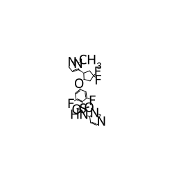 Cn1nccc1[C@H]1CC(F)(F)C[C@@H]1Oc1cc(F)c(S(=O)(=O)Nc2ccncn2)c(F)c1